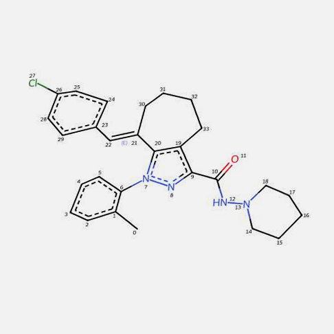 Cc1ccccc1-n1nc(C(=O)NN2CCCCC2)c2c1/C(=C/c1ccc(Cl)cc1)CCCC2